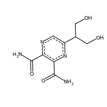 NC(=O)c1ncc(C(CO)CO)nc1C(N)=O